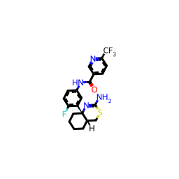 NC1=N[C@@]2(c3cc(NC(=O)c4ccc(C(F)(F)F)nc4)ccc3F)CCCC[C@H]2CS1